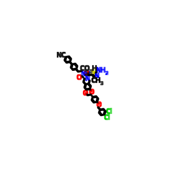 Cc1nc(N)sc1C(=O)N1Cc2cc3c(cc2C[C@H]1C(=O)NC(Cc1ccc(-c2ccc(C#N)cc2)cc1)C(=O)O)OC[C@H](c1ccc(OCc2ccc(Cl)c(Cl)c2)cc1)O3